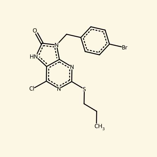 CCCSc1nc(Cl)c2[nH]c(=O)n(Cc3ccc(Br)cc3)c2n1